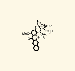 COc1cc2c(c3c1c(=O)c1cc4ccccc4cc1n3C)C(OC(C)=O)C(C(NC(C)=O)C(=O)O)C(C)(C)O2